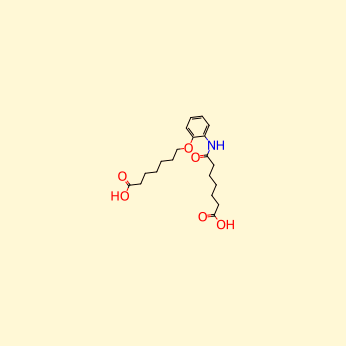 O=C(O)CCCCCCOc1ccccc1NC(=O)CCCCCC(=O)O